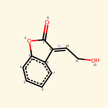 O=C1Oc2ccccc2/C1=C\CO